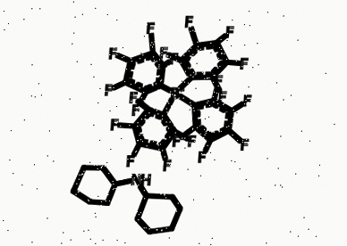 C1CCC(NC2CCCCC2)CC1.Fc1c(F)c(F)c([B-](c2c(F)c(F)c(F)c(F)c2F)(c2c(F)c(F)c(F)c(F)c2F)c2c(F)c(F)c(F)c(F)c2F)c(F)c1F